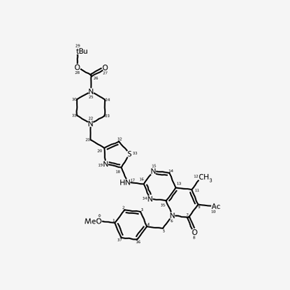 COc1ccc(Cn2c(=O)c(C(C)=O)c(C)c3cnc(Nc4nc(CN5CCN(C(=O)OC(C)(C)C)CC5)cs4)nc32)cc1